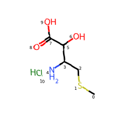 CSCC(N)C(O)C(=O)O.Cl